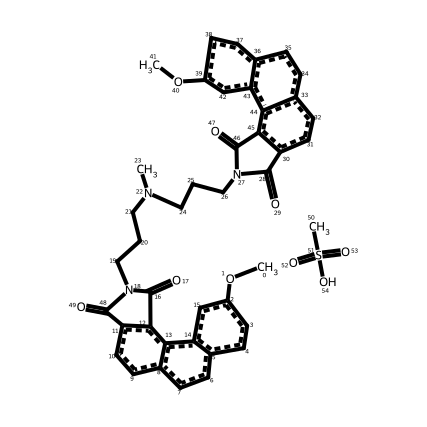 COc1ccc2ccc3ccc4c(c3c2c1)C(=O)N(CCCN(C)CCCN1C(=O)c2ccc3ccc5ccc(OC)cc5c3c2C1=O)C4=O.CS(=O)(=O)O